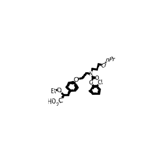 CCCOCCCN(CCOc1ccc(CC(OCC)C(=O)O)cc1)C(=O)Oc1ccccc1Cl